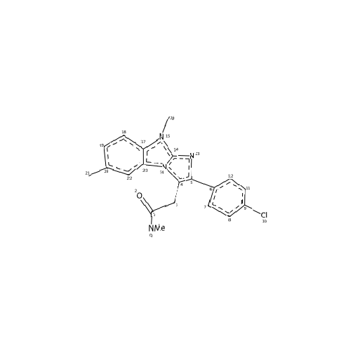 CNC(=O)Cc1c(-c2ccc(Cl)cc2)nc2n(C)c3ccc(C)cc3n12